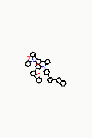 c1cc(-c2ccc(N(c3cccc(-c4cccc5c4oc4ccccc45)c3)c3ccccc3-c3ccc4c(c3)c3cccc5c3n4-c3ccccc3O5)cc2)cc(-c2ccc3ccccc3c2)c1